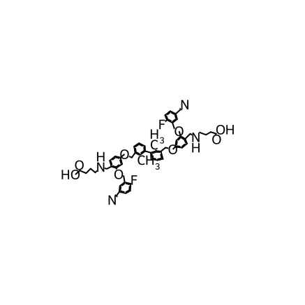 Cc1c(COc2ccc(CNCCCC(=O)O)c(OCc3cc(C#N)ccc3F)c2)cccc1-c1cccc(COc2ccc(CNCCCC(=O)O)c(OCc3cc(C#N)ccc3F)c2)c1C